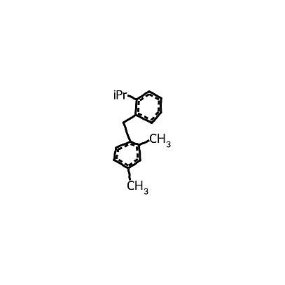 Cc1ccc(Cc2ccccc2C(C)C)c(C)c1